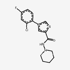 O=C(NN1CCCCC1)c1cn(-c2ccc(F)cc2Cl)cn1